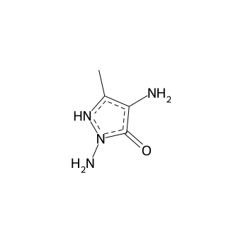 Cc1[nH]n(N)c(=O)c1N